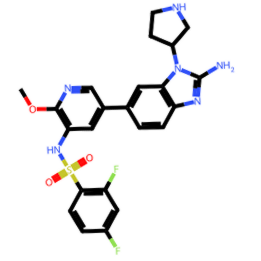 COc1ncc(-c2ccc3nc(N)n(C4CCNC4)c3c2)cc1NS(=O)(=O)c1ccc(F)cc1F